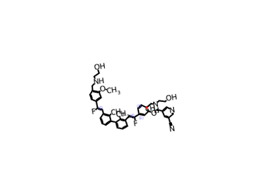 COc1cc(/C(F)=C/c2cccc(-c3cccc(/C=C(F)/C(/C=C\CCNCCO)=C/C(C)OCc4cncc(C#N)c4)c3C)c2C)ccc1CNCCO